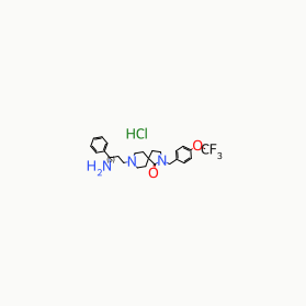 Cl.N[C@@H](CCN1CCC2(CC1)CCN(Cc1ccc(OC(F)(F)F)cc1)C2=O)c1ccccc1